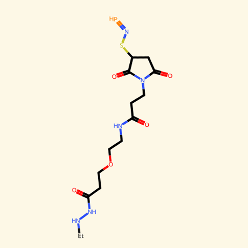 CCNNC(=O)CCOCCNC(=O)CCN1C(=O)CC(SN=P)C1=O